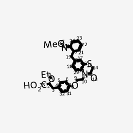 CCOC(Cc1ccc(OCCN2C(=O)CSc3cc(CC4C=CC=CC4=NOC)ccc32)cc1)C(=O)O